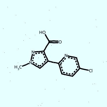 Cn1cc(-c2ccc(Cl)cn2)c(C(=O)O)n1